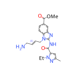 CCn1nc(C)cc1C(=O)Nc1nc2cc(C(=O)OC)ccc2n1C/C=C/CN